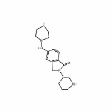 O=C1c2ccc(NN3CCNCC3)cc2CN1C1CCCNC1